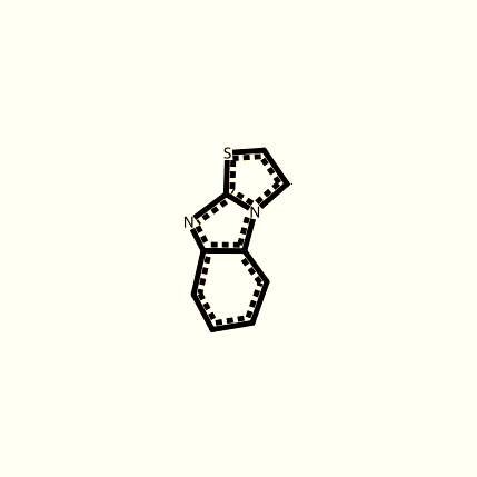 [c]1csc2nc3ccccc3n12